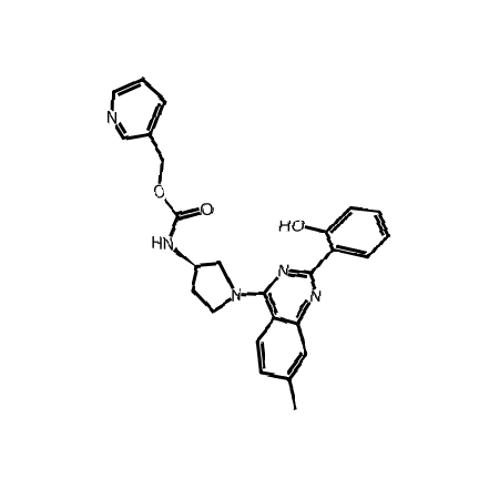 Cc1ccc2c(N3CC[C@@H](NC(=O)OCc4cccnc4)C3)nc(-c3ccccc3O)nc2c1